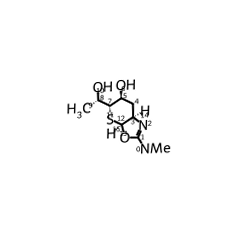 CNC1=N[C@@H]2C[C@H](O)[C@@H]([C@H](C)O)S[C@@H]2O1